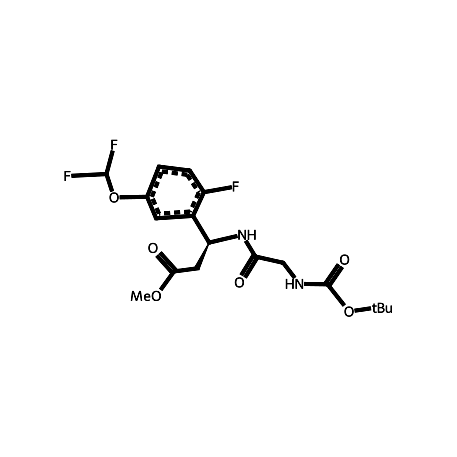 COC(=O)C[C@H](NC(=O)CNC(=O)OC(C)(C)C)c1cc(OC(F)F)ccc1F